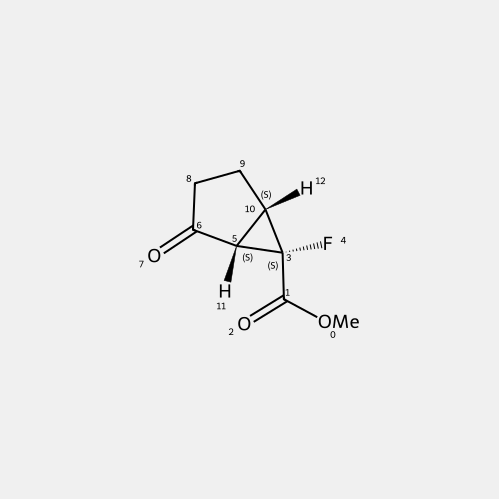 COC(=O)[C@@]1(F)[C@@H]2C(=O)CC[C@@H]21